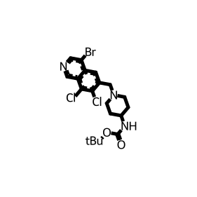 CC(C)(C)OC(=O)NC1CCN(Cc2cc3c(Br)cncc3c(Cl)c2Cl)CC1